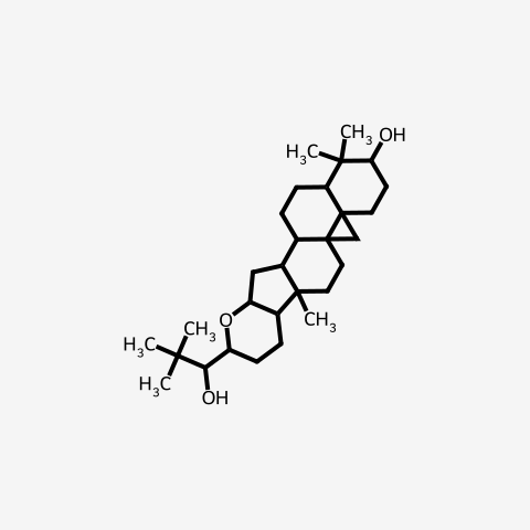 CC(C)(C)C(O)C1CCC2C(CC3C4CCC5C(C)(C)C(O)CCC56CC46CCC23C)O1